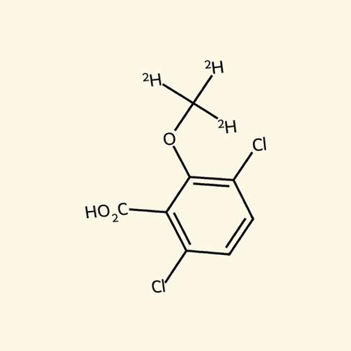 [2H]C([2H])([2H])Oc1c(Cl)ccc(Cl)c1C(=O)O